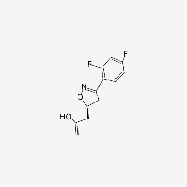 C=C(O)C[C@@H]1CC(c2ccc(F)cc2F)=NO1